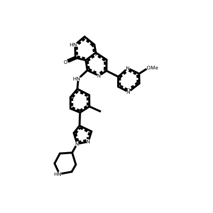 COc1cncc(-c2cc3cc[nH]c(=O)c3c(Nc3ccc(-c4cnn(C5CCNCC5)c4)c(C)c3)n2)n1